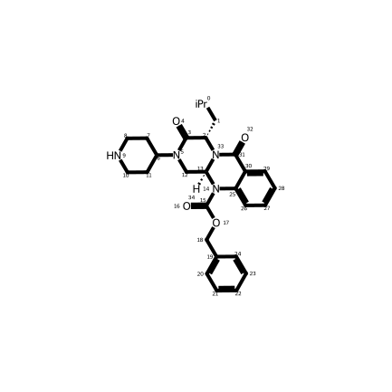 CC(C)C[C@H]1C(=O)N(C2CCNCC2)C[C@@H]2N(C(=O)OCc3ccccc3)c3ccccc3C(=O)N21